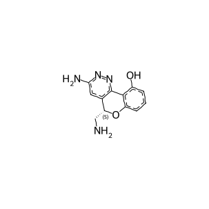 NC[C@H]1Oc2cccc(O)c2-c2nnc(N)cc21